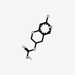 NC(=O)OC1COc2cc(Cl)ncc2C1